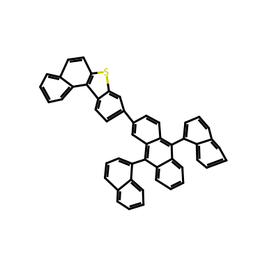 c1ccc2c(-c3c4ccccc4c(-c4cccc5ccccc45)c4cc(-c5ccc6c(c5)sc5ccc7ccccc7c56)ccc34)cccc2c1